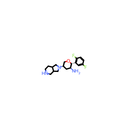 N[C@H]1C[C@@H](N2CC3CCNCC3C2)CO[C@@H]1c1cc(F)ccc1F